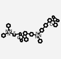 c1ccc(-c2nc(-c3ccc(-c4ccc(-c5cccc6c5Oc5ccccc5C65c6ccccc6-c6ccccc65)cc4)cc3)nc(-c3ccc(-c4cccc5c4-c4ccccc4C54c5ccccc5Oc5c(-c6ccc(-c7nc(-c8ccccc8)nc(-c8ccccc8)n7)s6)cccc54)cc3)n2)cc1